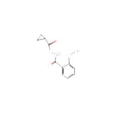 COc1ccccc1C(=O)NOC(=O)C1CC1